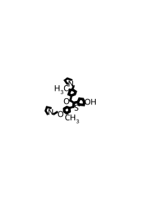 Cc1cc(C(=O)c2c(-c3ccc(OCCN4CCCC4)c(C)c3)sc3cc(O)ccc23)ccc1CN1CCCC1